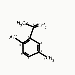 C=C(C)c1cc(C)ccc1C(C)=O